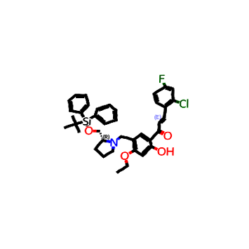 CCOc1cc(O)c(C(=O)/C=C/c2ccc(F)cc2Cl)cc1CN1CCC[C@@H]1CO[Si](c1ccccc1)(c1ccccc1)C(C)(C)C